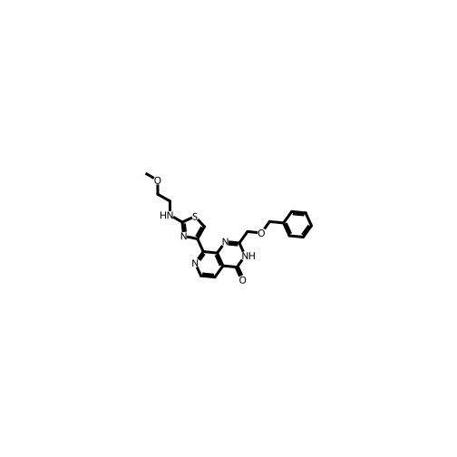 COCCNc1nc(-c2nccc3c(=O)[nH]c(COCc4ccccc4)nc23)cs1